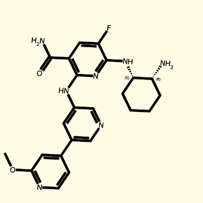 COc1cc(-c2cncc(Nc3nc(N[C@H]4CCCC[C@H]4N)c(F)cc3C(N)=O)c2)ccn1